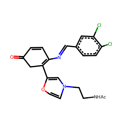 CC(=O)NCCN1C=COC(C2=C(N=Cc3ccc(Cl)c(Cl)c3)C=CC(=O)C2)=C1